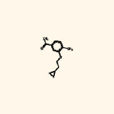 CC(=O)c1ccc(C)c(OCCC2CC2)c1